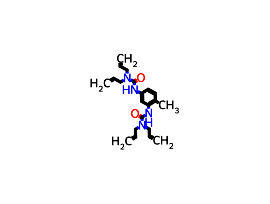 C=CCN(CC=C)C(=O)Nc1ccc(C)c(NC(=O)N(CC=C)CC=C)c1